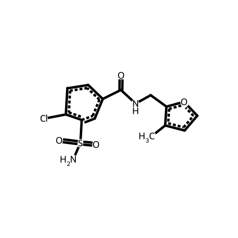 Cc1ccoc1CNC(=O)c1ccc(Cl)c(S(N)(=O)=O)c1